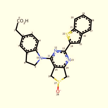 O=C(O)Cc1ccc2c(c1)CCN2c1nc(-c2cc3ccccc3s2)nc2c1C[S+]([O-])C2